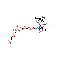 COCCOCCNS(=O)(=O)NC(=O)OCCOCCNC(=O)C(C)(C)CC(C)(C)CC(C)(C)C(C)(C)C